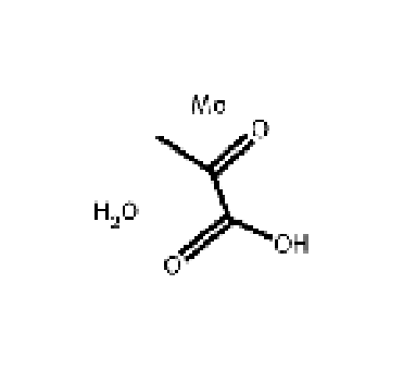 CC(=O)C(=O)O.O.[Mo]